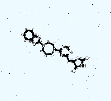 O=C1NC(=O)/C(=C/c2ncnc(N3CCCN(c4nc5ccccc5o4)CC3)n2)S1